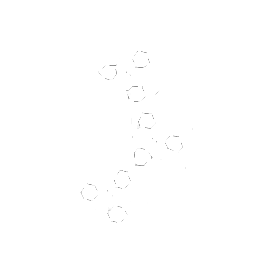 Cc1ccccc1N(c1ccc(-c2cc3c4c(c2)C(C)(C)c2cc(-c5ccc(N(c6ccccc6C)c6ccccc6C)c6c5C=CCC6)cc5c2N4c2c(cccc2C5(C)C)C3(C)C)cc1)c1ccccc1C